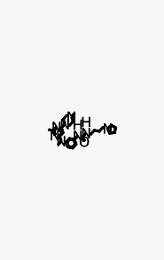 Cc1nc(N2CCN(C)CC2)cc(N(C)c2cccc(NC(=O)NCCCCN3CCCC3)c2)n1